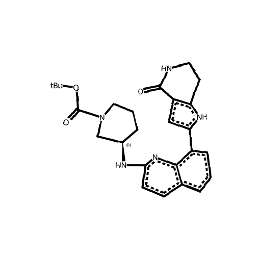 CC(C)(C)OC(=O)N1CCC[C@@H](Nc2ccc3cccc(-c4cc5c([nH]4)CCNC5=O)c3n2)C1